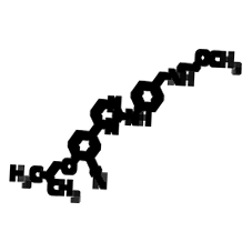 COCCNCc1ccc(Nc2nccc(-c3ccc(OCC(C)C)c(C#N)c3)n2)cc1